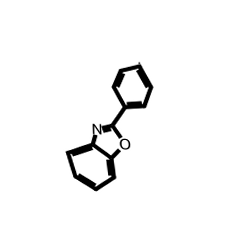 [c]1ccc(-c2nc3ccccc3o2)cc1